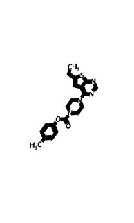 CCc1cc2c(N3CCN(C(=O)Oc4ccc(C)cc4)CC3)ncnc2s1